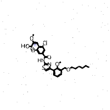 CCCCCCOCc1cccc(-c2csc(NC(=O)c3cc(Cl)c(/C=C(/OC)C(=O)O)c(Cl)c3)n2)c1OC